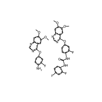 COc1cc2ncnc(Oc3ccc(N)c(F)c3)c2cc1OC.COc1cc2ncnc(Oc3ccc(NC(=O)Nc4ccc(F)cc4F)c(F)c3)c2cc1OC